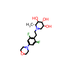 C[C@@H]1[C@@H](O)[C@H](O)[C@@H](O)CN1CCc1c(F)cc(N2CCOCC2)cc1F